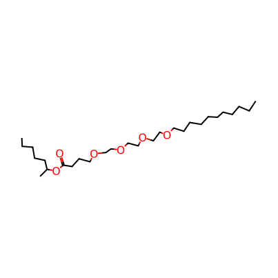 CCCCCCCCCCCOCCOCCOCCOCCCC(=O)OC(C)CCCCC